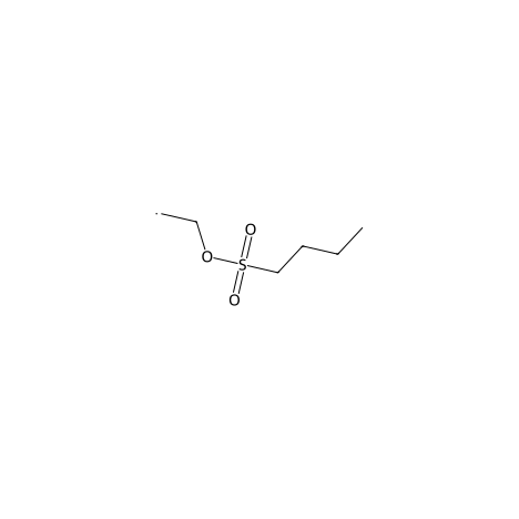 [CH2]COS(=O)(=O)CCCC